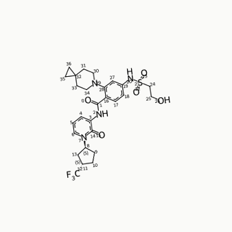 O=C(Nc1cccn([C@H]2CC[C@H](C(F)(F)F)C2)c1=O)c1ccc(NS(=O)(=O)CCO)cc1N1CCC2(CC1)CC2